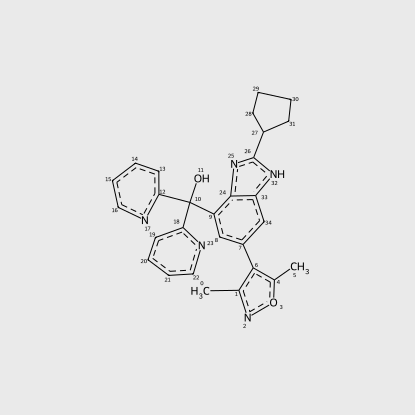 Cc1noc(C)c1-c1cc(C(O)(c2ccccn2)c2ccccn2)c2nc(C3CCCC3)[nH]c2c1